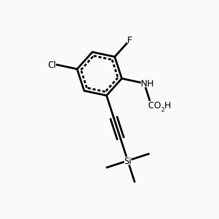 C[Si](C)(C)C#Cc1cc(Cl)cc(F)c1NC(=O)O